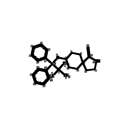 CC(C)(C)[Si](OC1CCC2(CCNC2=O)CC1)(c1ccccc1)c1ccccc1